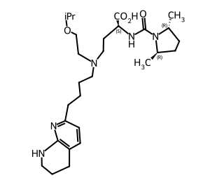 CC(C)OCCN(CCCCc1ccc2c(n1)NCCC2)CC[C@H](NC(=O)N1[C@H](C)CC[C@H]1C)C(=O)O